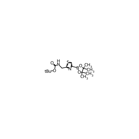 CC(C)(C)OC(=O)NCc1nc(B2OC(C)(C)C(C)(C)O2)cs1